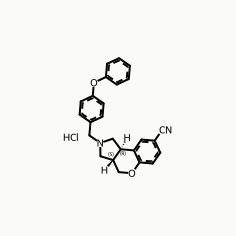 Cl.N#Cc1ccc2c(c1)[C@@H]1CN(Cc3ccc(Oc4ccccc4)cc3)C[C@H]1CO2